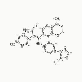 CN1CCOc2cc(C(Nc3ccc(-c4nccn4C)cc3)=C3C(=O)Nc4cc(Cl)ccc43)ccc21